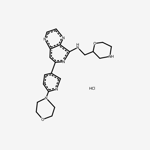 Cl.c1cnc2c(NCC3CNCCO3)nc(-c3ccc(N4CCOCC4)nc3)cc2n1